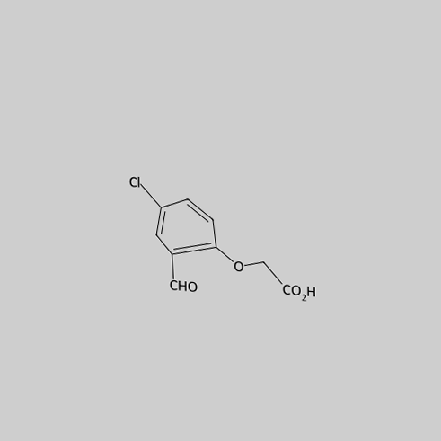 O=Cc1cc(Cl)ccc1OCC(=O)O